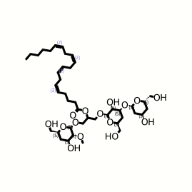 CCCCC/C=C\C/C=C\C/C=C\C/C=C\CCCC(=O)OC(CO[C@@H]1O[C@H](CO)C[C@H](O[C@H]2C[C@@H](O)C[C@@H](CO)O2)[C@H]1O)CO[C@@H]1O[C@H](CO)C[C@H](O)[C@H]1OC